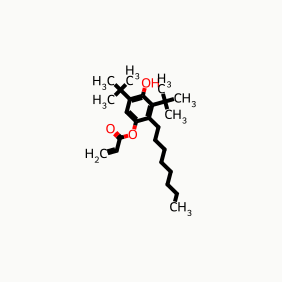 C=CC(=O)Oc1cc(C(C)(C)C)c(O)c(C(C)(C)C)c1CCCCCCCC